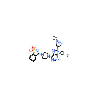 CCn1cc(-c2nc3c(N4CCN(C5=NS(=O)(=O)c6ccccc65)CC4)ncnc3n2C)cn1